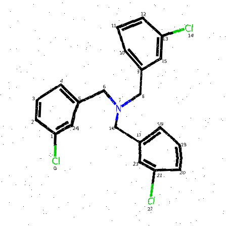 Clc1cccc(CN(Cc2cccc(Cl)c2)Cc2cccc(Cl)c2)c1